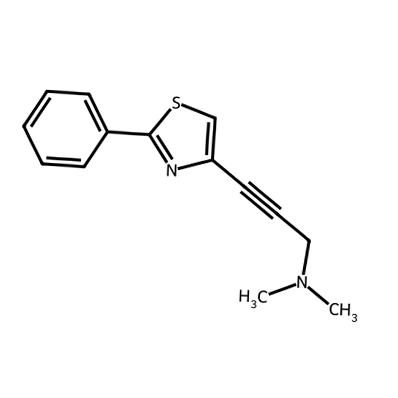 CN(C)CC#Cc1csc(-c2ccccc2)n1